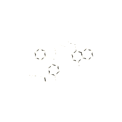 COC(=O)c1cc([C@H]2C[C@@H](CCNC(C)c3ccc(F)c4ccccc34)Oc3ccccc32)ccc1C